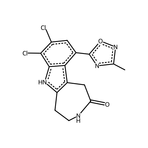 Cc1noc(-c2cc(Cl)c(Cl)c3[nH]c4c(c23)CC(=O)NCC4)n1